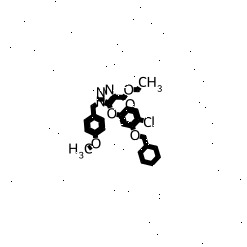 CCOC(=O)c1nnn(Cc2ccc(OC)cc2)c1Oc1ccc(Cl)c(OCC2CCCCC2)c1